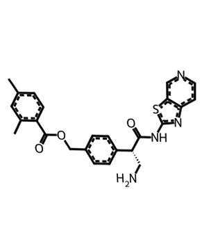 Cc1ccc(C(=O)OCc2ccc([C@@H](CN)C(=O)Nc3nc4ccncc4s3)cc2)c(C)c1